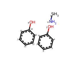 N[SiH3].Oc1ccccc1.Oc1ccccc1